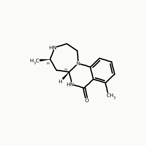 Cc1cccc2c1C(=O)N[C@@H]1C[C@@H](C)NCCN21